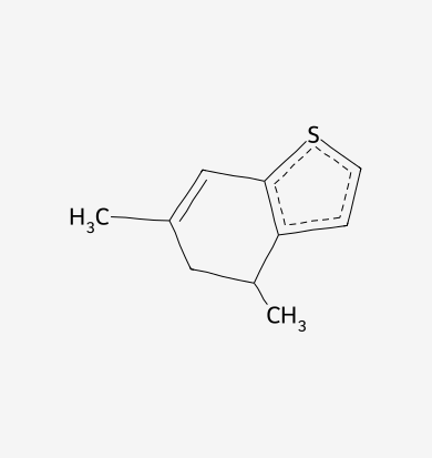 CC1=Cc2sccc2C(C)C1